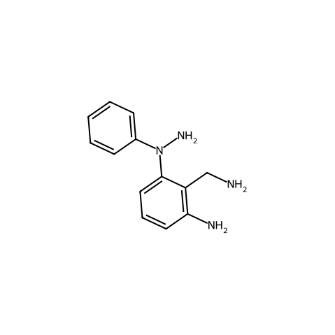 NCc1c(N)cccc1N(N)c1ccccc1